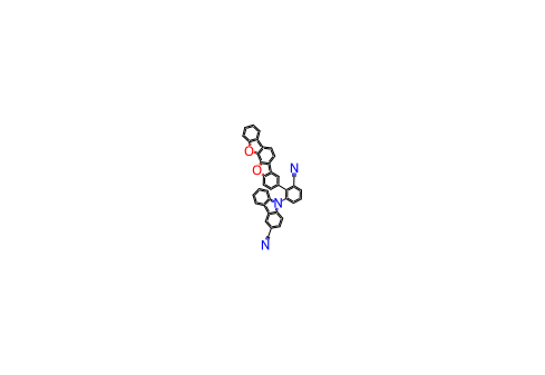 N#Cc1ccc2c(c1)c1ccccc1n2-c1cccc(C#N)c1-c1ccc2oc3c(ccc4c5ccccc5oc43)c2c1